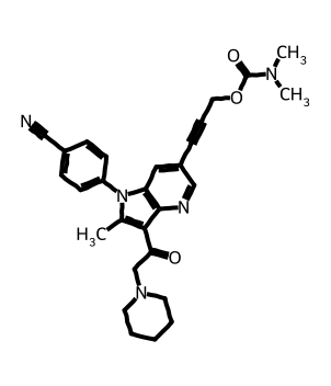 Cc1c(C(=O)CN2CCCCC2)c2ncc(C#CCOC(=O)N(C)C)cc2n1-c1ccc(C#N)cc1